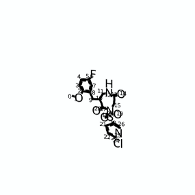 COc1ccc(F)cc1CC1CNC(=O)CN(S(=O)(=O)c2ccc(Cl)nc2)C1=O